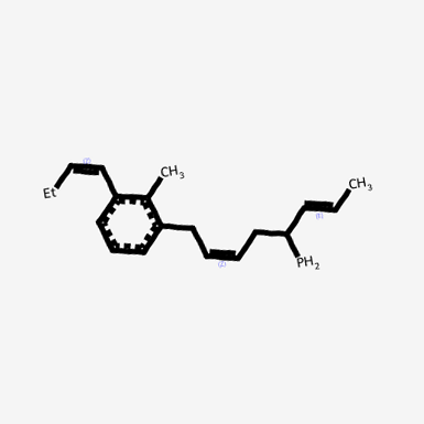 C/C=C/C(P)C/C=C\Cc1cccc(/C=C\CC)c1C